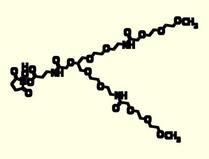 COCCOCCOCC(=O)NCCOCCOCC(COCCOCCNC(=O)COCCOCCOC)OCC(=O)NCCC(=O)O[N+]1(O)C(=O)CCC1=O